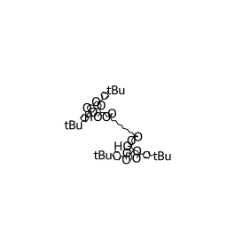 CC(C)(C)c1ccc(C2OC3COC(c4ccc(C(C)(C)C)cc4)OC3C(C(O)COC(=O)CCCCCCCCC(=O)OCC(O)C3OC(c4ccc(C(C)(C)C)cc4)OC4COC(c5ccc(C(C)(C)C)cc5)OC43)O2)cc1